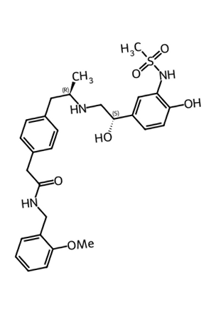 COc1ccccc1CNC(=O)Cc1ccc(C[C@@H](C)NC[C@@H](O)c2ccc(O)c(NS(C)(=O)=O)c2)cc1